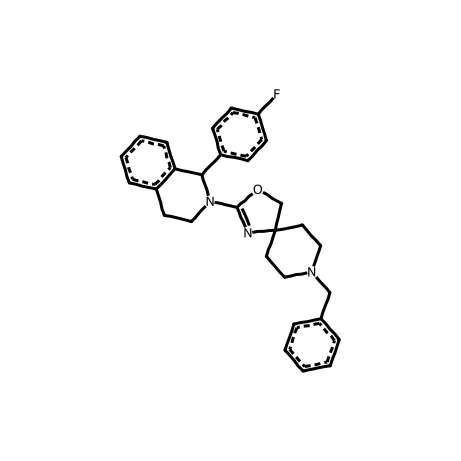 Fc1ccc(C2c3ccccc3CCN2C2=NC3(CCN(Cc4ccccc4)CC3)CO2)cc1